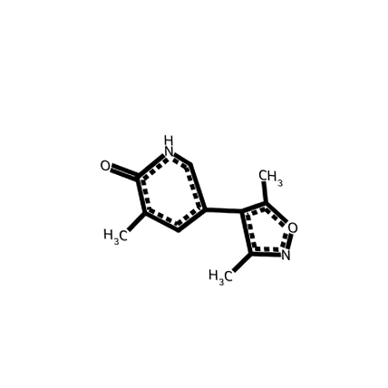 Cc1noc(C)c1-c1c[nH]c(=O)c(C)c1